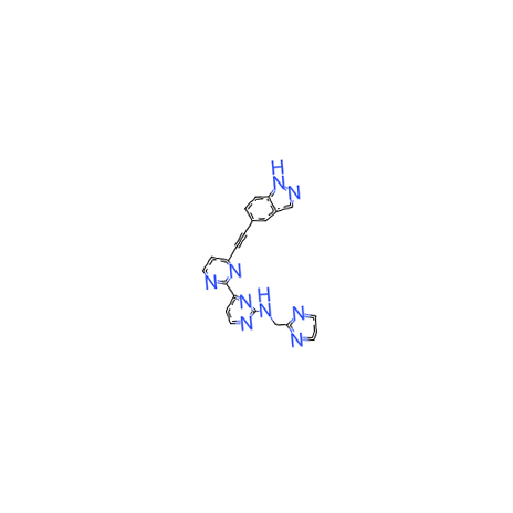 C(#Cc1ccnc(-c2ccnc(NCc3ncccn3)n2)n1)c1ccc2[nH]ncc2c1